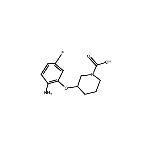 Nc1ccc(F)cc1OC1CCCN(C(=O)O)C1